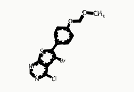 COCOc1ccc(-c2sc3ncnc(Cl)c3c2Br)cc1